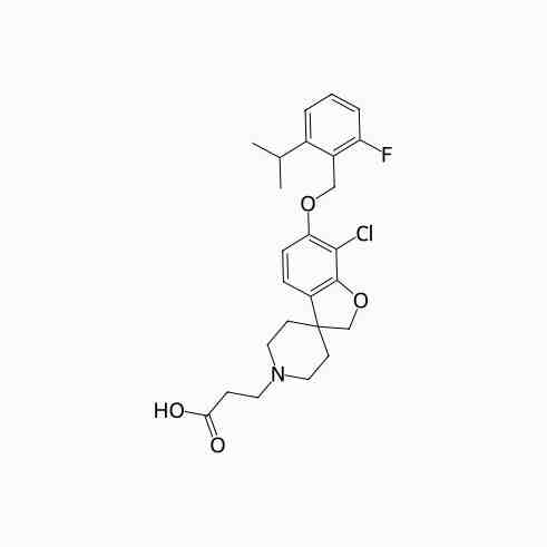 CC(C)c1cccc(F)c1COc1ccc2c(c1Cl)OCC21CCN(CCC(=O)O)CC1